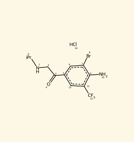 CC(C)NCC(=O)c1cc(Br)c(N)c(C(F)(F)F)c1.Cl